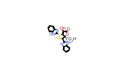 O=C1OC(C(=O)O)(C(S)c2nc3ccccc3[nH]2)C(Sc2nc3ccccc3[nH]2)=C1O